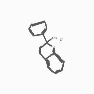 OC1(c2ccccc2)CCc2ccccc2O1.[Ti]